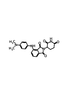 CN(C)c1ccc(Nc2cccc3c2C(=O)N(C2CCC(=O)NC2=O)C3=O)cc1